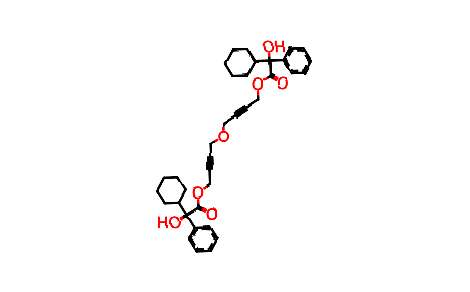 O=C(OCC#CCOCC#CCOC(=O)C(O)(c1ccccc1)C1CCCCC1)C(O)(c1ccccc1)C1CCCCC1